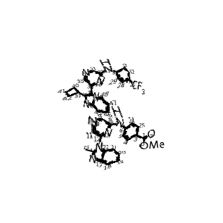 COC(=O)c1ccc(Nc2cncc(-n3c(C)nc4ccccc43)n2)cc1.FC(F)(F)c1ccc(Nc2cncc(-c3c(C4CCC4)nc4ccccn34)n2)cc1